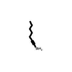 CCCCCC#[C][SbH2]